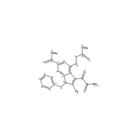 CCc1c(C(=O)C(N)=O)c2c(OCC(=O)OC)cc(C(=O)OC)cc2n1Cc1ccccc1